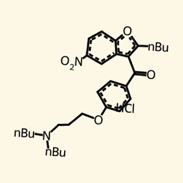 CCCCc1oc2ccc([N+](=O)[O-])cc2c1C(=O)c1ccc(OCCCN(CCCC)CCCC)cc1.Cl